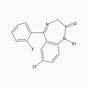 CCN1C(=O)CN=C(c2ccccc2F)c2cc(Cl)ccc21